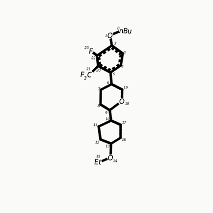 CCCCOc1ccc(C2CCC(C3CCC(OCC)CC3)OC2)c(C(F)(F)F)c1F